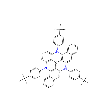 CC(C)(C)c1ccc(N2c3cc4ccccc4c4c3[SiH]3c5c(cccc5N(c5ccc(C(C)(C)C)cc5)c5c3c2cc2ccccc52)N4c2ccc(C(C)(C)C)cc2)cc1